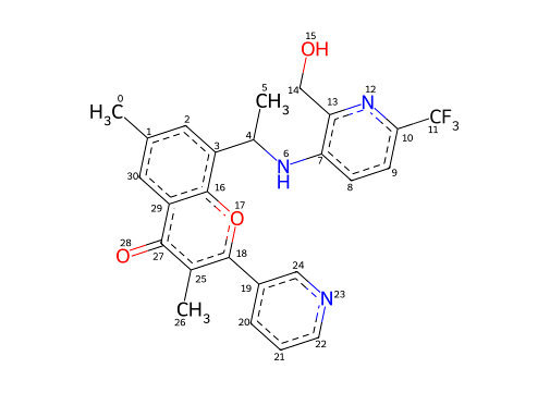 Cc1cc(C(C)Nc2ccc(C(F)(F)F)nc2CO)c2oc(-c3cccnc3)c(C)c(=O)c2c1